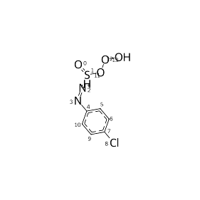 O=[SH](=[N+]=Nc1ccc(Cl)cc1)OOO